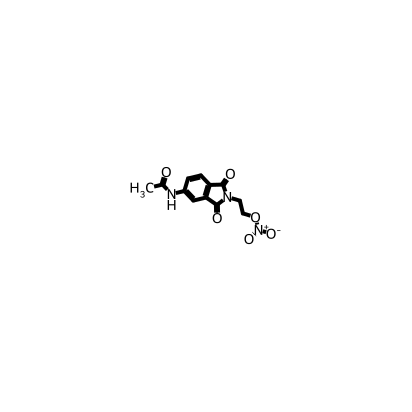 CC(=O)Nc1ccc2c(c1)C(=O)N(CCO[N+](=O)[O-])C2=O